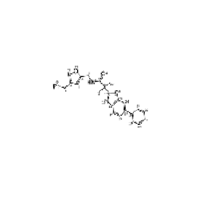 CC(C)Cc1cc(CNC(=O)C(C)(C)c2nc3ccc(-c4ccccc4)cc3s2)on1